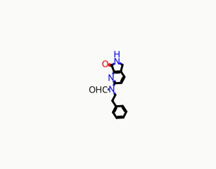 O=CN(CCc1ccccc1)c1ccc2c(n1)C(=O)NC2